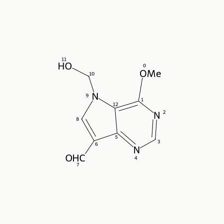 COc1ncnc2c(C=O)cn(CO)c12